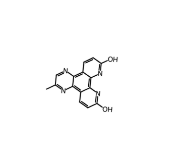 Cc1cnc2c3ccc(O)nc3c3nc(O)ccc3c2n1